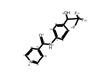 O=C(Nc1ccc(C(O)C(F)(F)F)cc1)c1ccncc1